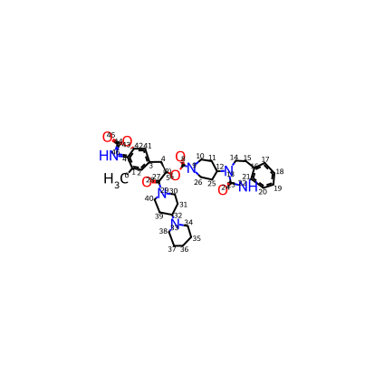 Cc1cc(C[C@@H](OC(=O)N2CCC(N3CCc4ccccc4NC3=O)CC2)C(=O)N2CCC(N3CCCCC3)CC2)cc2oc(=O)[nH]c12